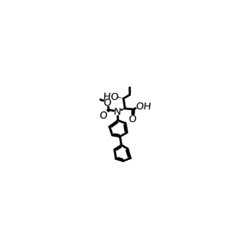 CC[C@@H](O)[C@@H](C(=O)O)N(C(=O)OC)c1ccc(-c2ccccc2)cc1